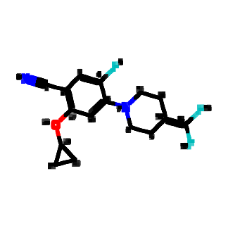 N#Cc1cc(F)c(N2CCC(=C(F)F)CC2)cc1OC1CC1